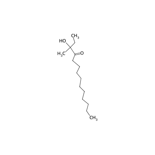 CCCCCCCCCCC(=O)C(C)(O)CC